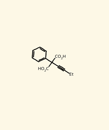 CCC#CC(C(=O)O)(C(=O)O)c1ccccc1